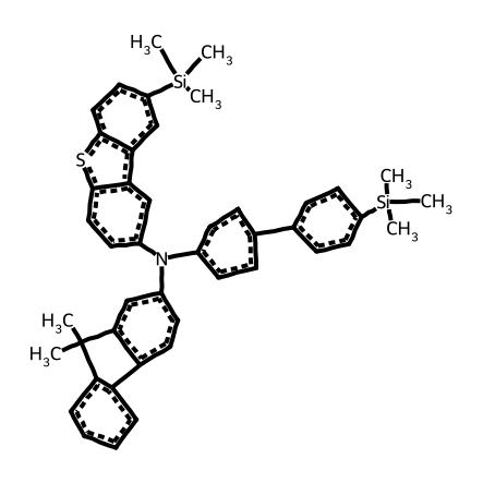 CC1(C)c2ccccc2-c2ccc(N(c3ccc(-c4ccc([Si](C)(C)C)cc4)cc3)c3ccc4sc5ccc([Si](C)(C)C)cc5c4c3)cc21